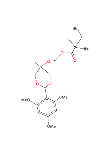 COc1cc(OC)c(C2OCC(C)(OCOC(=O)C(C)(CC(C)(C)C)C(C)C)CO2)c(OC)c1